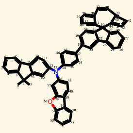 CC1(C)c2ccccc2-c2ccc(N(c3ccc(-c4ccc5c(c4)-c4ccccc4C54c5ccccc5C=Cc5ccccc54)cc3)c3ccc4c(c3)oc3ccccc34)cc21